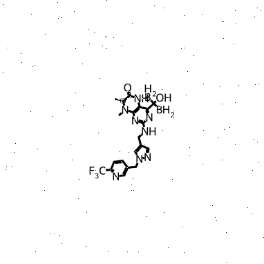 BC(B)(O)c1nc(NCc2cnn(Cc3ccc(C(F)(F)F)nc3)c2)nc2c1NC(=O)[C@H](C)N2C